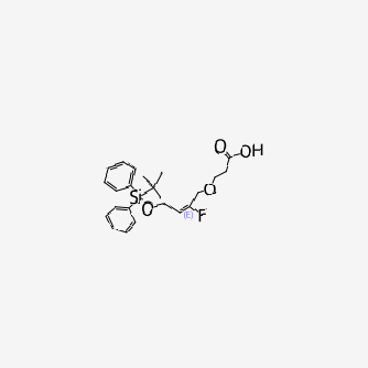 CC(C)(C)[Si](OC/C=C(/F)COCCC(=O)O)(c1ccccc1)c1ccccc1